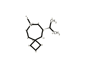 CC(C)[C@H]1CN(I)CCC2(CCC2)C1